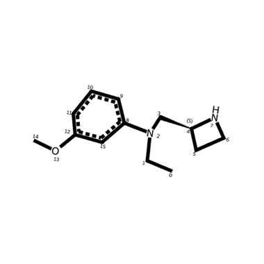 CCN(C[C@@H]1CCN1)c1cccc(OC)c1